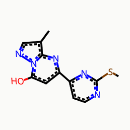 CSc1nccc(-c2cc(O)n3ncc(C)c3n2)n1